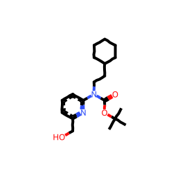 CC(C)(C)OC(=O)N(CCC1CCCCC1)c1cccc(CO)n1